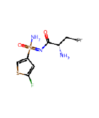 CC(C)C[C@H](N)C(=O)N=S(N)(=O)c1csc(F)c1